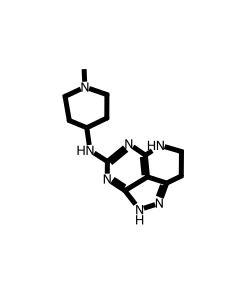 CN1CCC(Nc2nc3c4c(n[nH]c4n2)CCN3)CC1